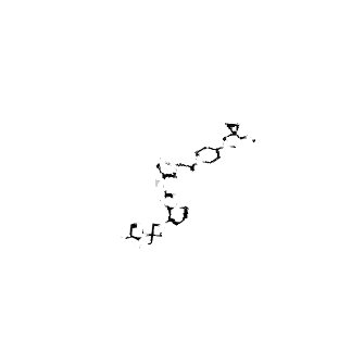 C=NCC1(CN(C)C2CCN(C(=O)Cn3cc(Nc4nc5c(N6CC(CC#N)(n7cc(CC)cn7)C6)cccn5n4)cn3)CC2)CC1